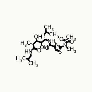 CC(C)CNC(=O)[C@H](C)[C@@H](O)[C@H](O)[C@H](CC(C)C)NC(=O)c1csc(N(C)S(C)(=O)=O)n1